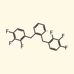 Fc1ccc(Cc2[c]cccc2Cc2ccc(F)c(F)c2F)c(F)c1F